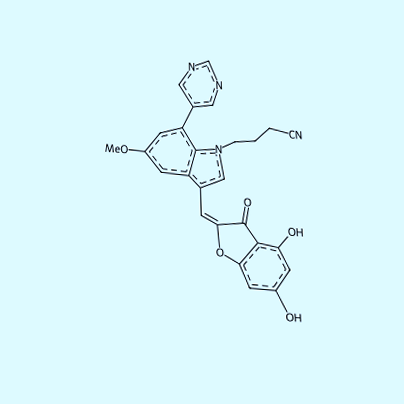 COc1cc(-c2cncnc2)c2c(c1)c(C=C1Oc3cc(O)cc(O)c3C1=O)cn2CCCC#N